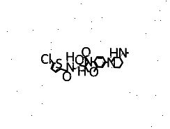 CN[C@@H]1CCCN(c2ccc3c(c2)OC[C@H]2[C@H](CNC(=O)c4ccc(Cl)s4)OC(=O)N32)C1